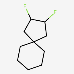 FC1CC2(CCCCC2)CC1F